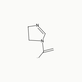 [CH2]C(=C)N1C=NCC1